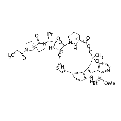 C=CC(=O)N1CC[C@]2(CCN(C(C(=O)N[C@H]3Cc4nc(cs4)-c4ccc5c(c4)c(c(-c4cccnc4[C@H](C)OC)n5CC)CC(C)(C)COC(=O)[C@@H]4CCCN(N4)C3=O)C(C)C)C2=O)C1